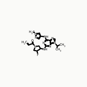 C=CC(=O)N1CC(F)C(Nc2nc(Nc3cnn(C)c3)c3ncn(C(C)C)c3n2)C1